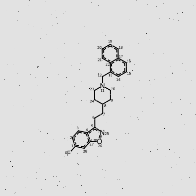 Fc1ccc2c(CCC3CCN(Cc4cccc5ccccc45)CC3)noc2c1